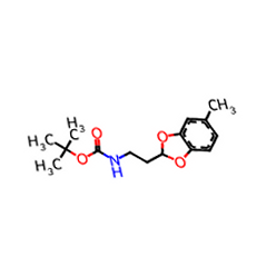 Cc1ccc2c(c1)OC(CCNC(=O)OC(C)(C)C)O2